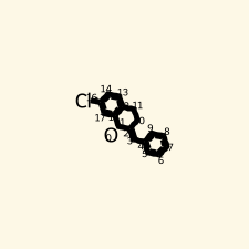 O=C1/C(=C/c2ccccc2)CCc2ccc(Cl)cc21